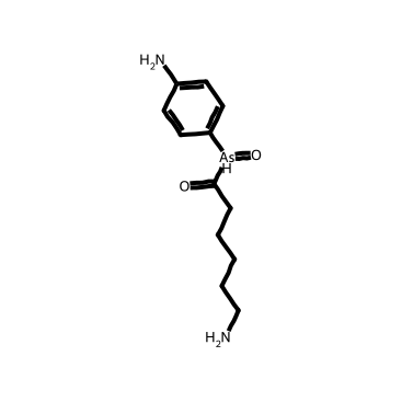 NCCCCCC(=O)[AsH](=O)c1ccc(N)cc1